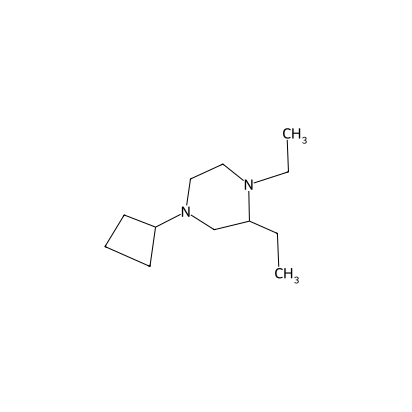 CCC1CN(C2CCC2)CCN1CC